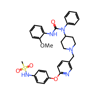 COc1ccccc1NC(=O)N(c1ccccc1)C1CCN(Cc2ccc(Oc3ccc(NS(C)(=O)=O)cc3)nc2)CC1